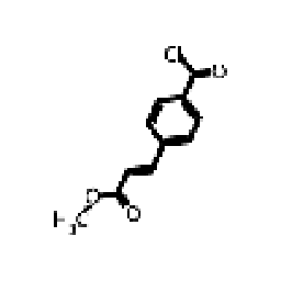 COC(=O)C=Cc1ccc(C(=O)Cl)cc1